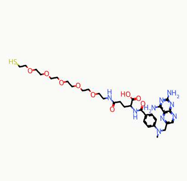 CN(Cc1cnc2nc(N)nc(N)c2n1)c1ccc(C(=O)NC(CCC(=O)NCCOCCOCCOCCOCCOCCS)C(=O)O)cc1